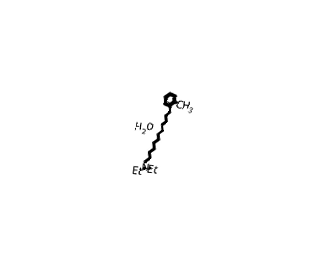 CCN(CC)CCCCCCCCCCCCc1ccccc1C.O